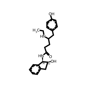 CCNC(CCC(=O)N[C@@H]1c2ccccc2C[C@@H]1O)Cc1ccc(O)cc1